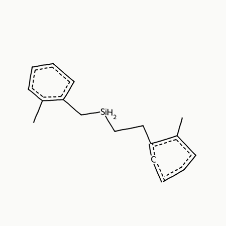 Cc1ccccc1CC[SiH2]Cc1ccccc1C